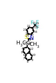 C[Si](C)(c1ccc2ccccc2c1)c1nc2cc(C(F)(F)F)ccc2s1